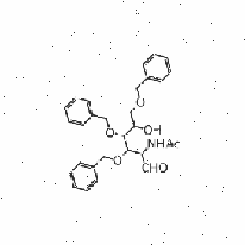 CC(=O)N[C@@H](C=O)[C@@H](OCc1ccccc1)[C@@H](OCc1ccccc1)[C@H](O)COCc1ccccc1